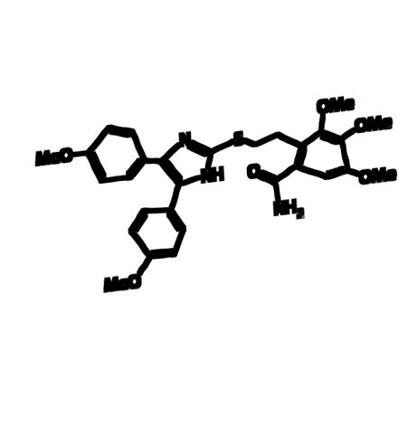 COc1ccc(-c2nc(SCCc3c(C(N)=O)cc(OC)c(OC)c3OC)[nH]c2-c2ccc(OC)cc2)cc1